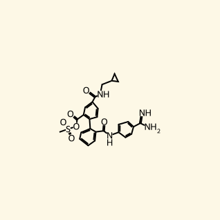 CS(=O)(=O)OC(=O)c1cc(C(=O)NCC2CC2)ccc1-c1ccccc1C(=O)Nc1ccc(C(=N)N)cc1